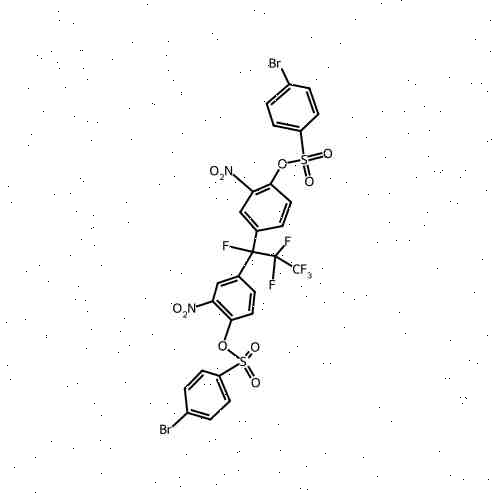 O=[N+]([O-])c1cc(C(F)(c2ccc(OS(=O)(=O)c3ccc(Br)cc3)c([N+](=O)[O-])c2)C(F)(F)C(F)(F)F)ccc1OS(=O)(=O)c1ccc(Br)cc1